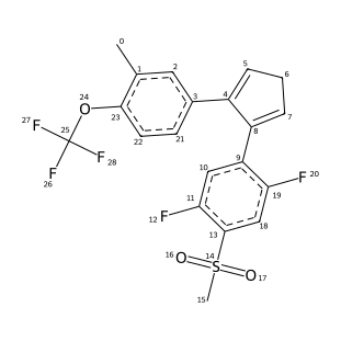 Cc1cc(C2=CCC=C2c2cc(F)c(S(C)(=O)=O)cc2F)ccc1OC(F)(F)F